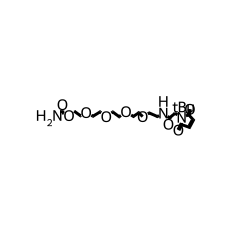 CC(C)(C)C(C(=O)NCCOCCOCCOCCOCCOC(N)=O)N1C(=O)C=CC1=O